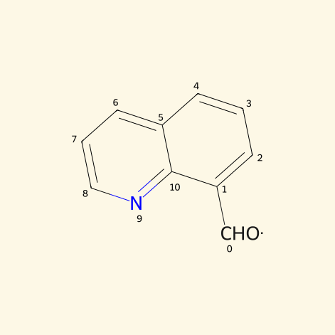 O=[C]c1cccc2cccnc12